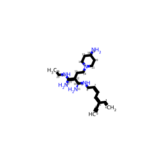 C#C/C(C=C)=C/C=C\CN[C@@H](N)/C(CCN1CCC(N)CC1)=C(\N)NCC